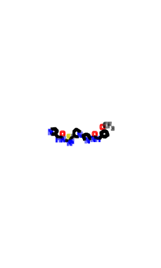 O=C(Cc1cccc(OC(F)(F)F)c1)Nc1ccc(N2CCC[C@H](c3nnc(NC(=O)Cc4cccnc4)s3)C2)cn1